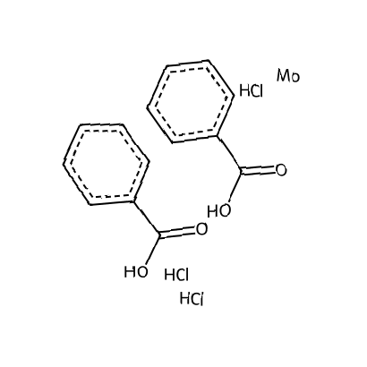 Cl.Cl.Cl.O=C(O)c1ccccc1.O=C(O)c1ccccc1.[Mo]